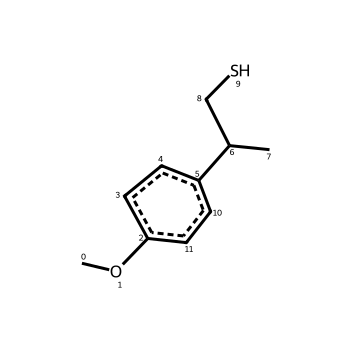 COc1ccc(C(C)CS)cc1